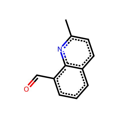 Cc1ccc2cccc(C=O)c2n1